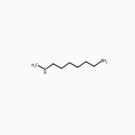 BCCCCCCBC